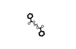 O=C(OSSOC(=O)c1ccccc1)c1ccccc1